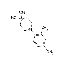 [CH2]c1cc(N)ccc1N1CCS(O)(O)CC1